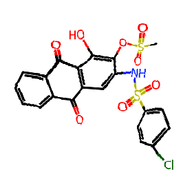 CS(=O)(=O)Oc1c(NS(=O)(=O)c2ccc(Cl)cc2)cc2c(c1O)C(=O)c1ccccc1C2=O